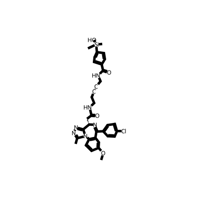 COc1ccc2c(c1)C(c1ccc(Cl)cc1)=N[C@@H](CC(=O)NCCCCCNC(=O)c1ccc([Si](C)(C)O)cc1)c1nnc(C)n1-2